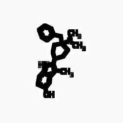 Cc1c(C2CCC(Cc3ccccc3)(N(C)C)CC2)[nH]c2ccc(O)cc12